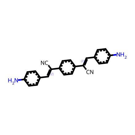 N#C/C(=C\c1ccc(N)cc1)c1ccc(/C(C#N)=C/c2ccc(N)cc2)cc1